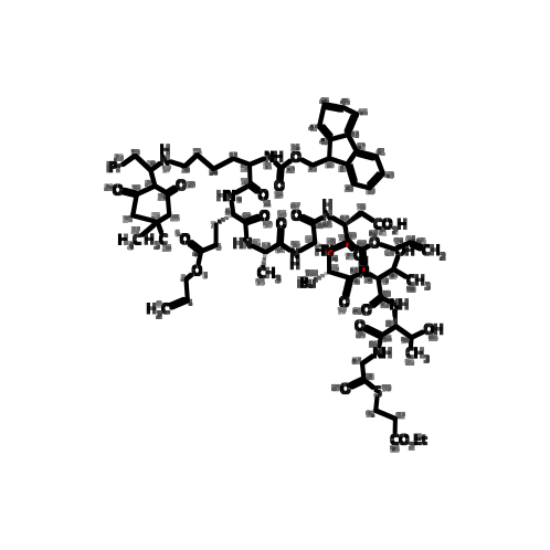 C=CCOC(=O)CC[C@H](NC(=O)C(CCCCNC(CC(C)C)C1C(=O)CC(C)(C)CC1=O)NC(=O)OCC1c2ccccc2-c2ccccc21)C(=O)N[C@@H](C)C(=O)N[C@@H](CCC(=O)OCC=C)C(=O)N[C@@H](CC(=O)O)C(=O)N[C@H](C(=O)N[C@H](C(=O)N[C@H](C(=O)NCC(=O)SCCC(=O)OCC)C(C)O)C(C)O)C(C)CC